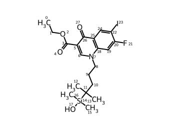 CCOC(=O)c1cn(CCCC(C)(C)[Si](C)(C)O)c2cc(F)c(I)cc2c1=O